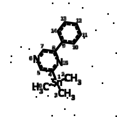 [CH3][Sn]([CH3])([CH3])[c]1cncc(-c2ccccc2)n1